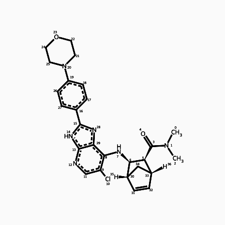 CN(C)C(=O)[C@@H]1[C@H](Nc2c(Cl)cnc3[nH]c(-c4ccc(N5CCOCC5)cc4)nc23)[C@H]2C=C[C@@H]1C2